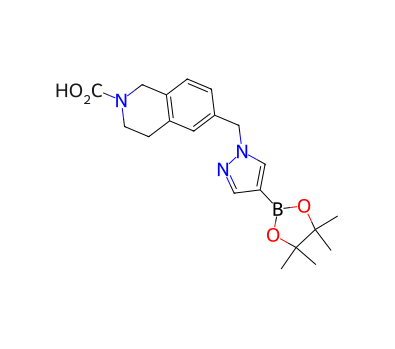 CC1(C)OB(c2cnn(Cc3ccc4c(c3)CCN(C(=O)O)C4)c2)OC1(C)C